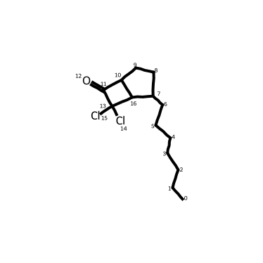 CCCCCCCC1CCC2C(=O)C(Cl)(Cl)C12